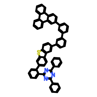 c1ccc(-c2nc(-c3ccccc3)nc(-c3ccccc3-c3ccc4c(c3)sc3ccc(-c5cccc(-c6cccc(-c7ccc8c9ccccc9c9ccccc9c8c7)c6)c5)cc34)n2)cc1